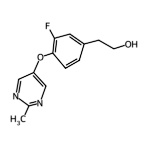 Cc1ncc(Oc2ccc(CCO)cc2F)cn1